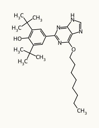 CCCCCCCCOc1nc(-c2cc(C(C)(C)C)c(O)c(C(C)(C)C)c2)nc2[nH]cnc12